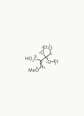 CCOC(CCl)(OCC)C(=NOC)C(=O)O